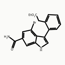 CCOC(=O)Cc1ccccc1-c1c[nH]c2cc(C(N)=O)cc(Br)c12